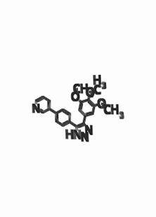 COc1cc(-c2nn[nH]c2-c2ccc(-c3cccnc3)cc2)cc(OC)c1OC